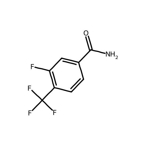 NC(=O)c1ccc(C(F)(F)F)c(F)c1